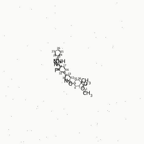 CCOC(=O)C1(C)CCC(Oc2ccc(-c3ccc(-c4nnc(-c5ccccc5)[nH]4)c(F)c3)cn2)CC1